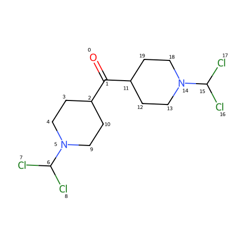 O=C(C1CCN(C(Cl)Cl)CC1)C1CCN(C(Cl)Cl)CC1